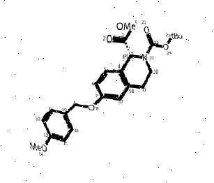 COC(=O)[C@H]1c2ccc(OCc3ccc(OC)cc3)cc2CCN1C(=O)OC(C)(C)C